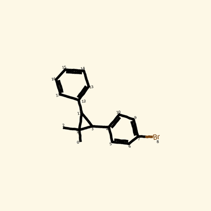 CC1(C)[C](c2ccc(Br)cc2)C1c1ccccc1